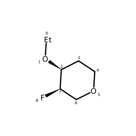 CCO[C@H]1CCOC[C@H]1F